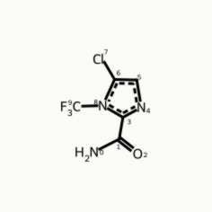 NC(=O)c1ncc(Cl)n1C(F)(F)F